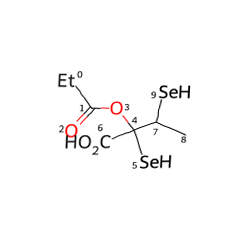 CCC(=O)OC([SeH])(C(=O)O)C(C)[SeH]